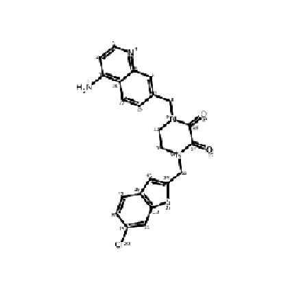 Nc1ccnc2cc(CN3CCN(Cc4cc5ccc(Cl)cc5s4)C(=O)C3=O)ccc12